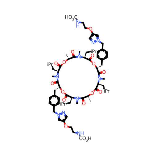 CC(C)C[C@H]1C(=O)O[C@H](Cc2ccc(Cn3cc(OCCNC(=O)O)cn3)cc2)C(=O)N(C)[C@@H](CC(C)C)C(=O)O[C@H](C)C(=O)N(C)[C@@H](CC(C)C)C(=O)O[C@H](Cc2ccc(Cn3cc(OCCNC(=O)O)cn3)cc2)C(=O)N(C)[C@@H](CC(C)C)C(=O)O[C@H](C)C(=O)N1C